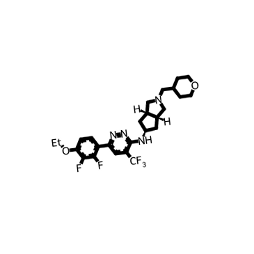 CCOc1ccc(-c2cc(C(F)(F)F)c(N[C@H]3C[C@@H]4CN(CC5CCOCC5)C[C@@H]4C3)nn2)c(F)c1F